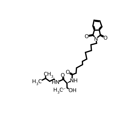 CC(C)C[CH]NC(=O)[C@@H](NC(=O)CCCCCCCCCN1C(=O)c2ccccc2C1=O)[C@@H](C)O